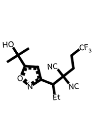 [C-]#[N+]C(C#N)(CCC(F)(F)F)C(CC)c1cc(C(C)(C)O)on1